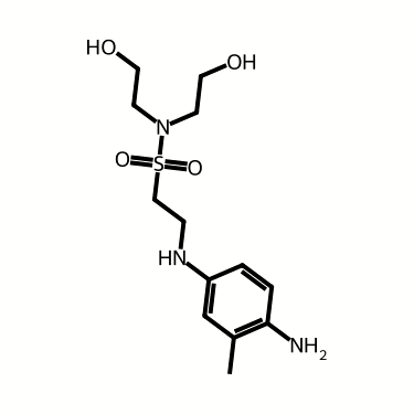 Cc1cc(NCCS(=O)(=O)N(CCO)CCO)ccc1N